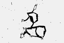 Fc1cc(Cl)ccc1-c1nc(Cl)nc2ncccc12